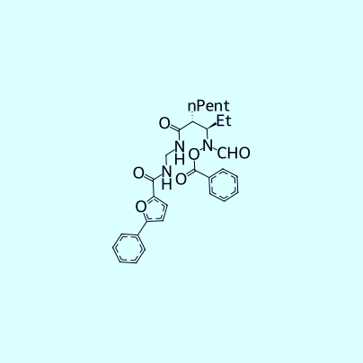 CCCCC[C@@H](C(=O)NCNC(=O)c1ccc(-c2ccccc2)o1)[C@@H](CC)N(C=O)OC(=O)c1ccccc1